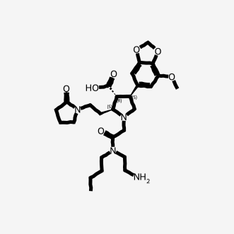 CCCCN(CCN)C(=O)CN1C[C@H](c2cc(OC)c3c(c2)OCO3)[C@@H](C(=O)O)[C@@H]1CCN1CCCC1=O